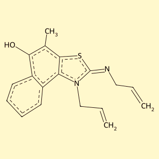 C=CCN=c1sc2c(C)c(O)c3ccccc3c2n1CC=C